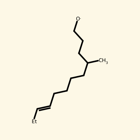 CC/C=C/CCCCC(C)CCC[O]